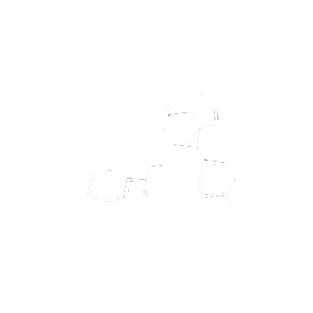 Cn1cnc2c(=O)nc(SCc3csc4ccc(Cl)cc34)n(-c3ccc(C(F)(F)F)cc3)c21